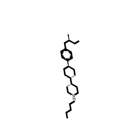 CCCCC[Si@H]1CC[C@H]([C@H]2CC[C@H](c3ccc(C[C@@H](C)CC)cc3)CC2)CC1